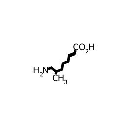 CC(CN)CCCC=CC(=O)O